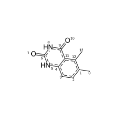 Cc1ccc2[nH]c(=O)[nH]c(=O)c2c1C